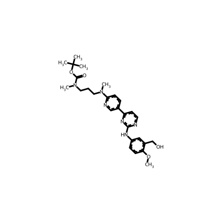 COc1ccc(Nc2nccc(-c3ccc(N(C)CCCN(C)C(=O)OC(C)(C)C)nc3)n2)cc1CO